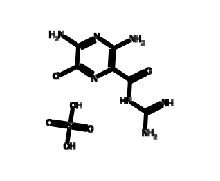 N=C(N)NC(=O)c1nc(Cl)c(N)nc1N.O=S(=O)(O)O